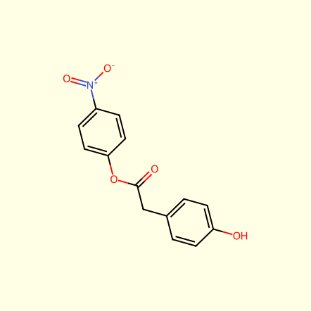 O=C(Cc1ccc(O)cc1)Oc1ccc([N+](=O)[O-])cc1